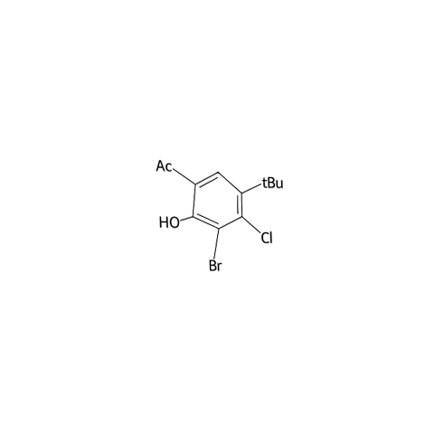 CC(=O)c1cc(C(C)(C)C)c(Cl)c(Br)c1O